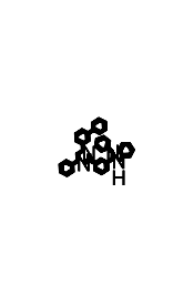 c1ccc(-c2cccc(-c3cc(-c4ccccc4)nc(-c4cccc(C5Nc6ccccc6N5c5ccccc5)c4)n3)c2)cc1